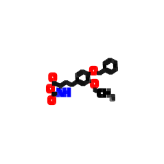 CCOc1cc(CCC2NC(=O)OC2=O)ccc1OCc1ccccc1